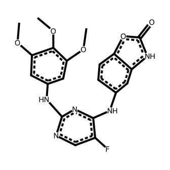 COc1cc(Nc2ncc(F)c(Nc3ccc4oc(=O)[nH]c4c3)n2)cc(OC)c1OC